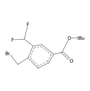 CC(C)(C)OC(=O)c1ccc(CBr)c(C(F)F)c1